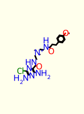 COc1ccc(CCC(=O)NCC[N+](C)(C)CCNC(=O)c2nc(Cl)c(N)nc2N)cc1